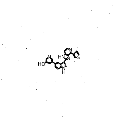 Oc1cncc(-c2ccc3[nH]nc(-c4nc5c(-c6ccsc6)nccc5[nH]4)c3c2)c1